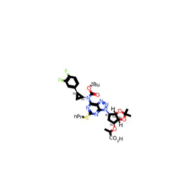 CCCSc1nc(N(C(=O)OC(C)(C)C)[C@@H]2C[C@H]2c2ccc(F)c(F)c2)c2nnn([C@@H]3C[C@H](OC(C)C(=O)O)[C@H]4OC(C)(C)O[C@H]43)c2n1